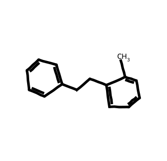 Cc1ccccc1C[CH]c1ccccc1